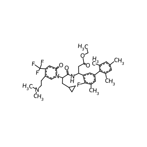 CCOC(=O)CC(NC(=O)C(CC1CC1)n1cc(CCN(C)C)c(C(F)(F)F)cc1=O)c1cc(-c2c(C)cc(C)cc2C)cc(C)c1F